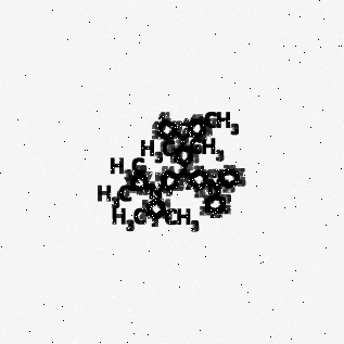 Cc1cc(C)cc(N(c2ccc(C(c3ccc(N(c4ccccc4)c4ccccc4)cc3)c3ccc(C(c4ccccc4)c4ccc(C)cc4C)c(C)c3)cc2)c2cc(C)cc(C)c2)c1